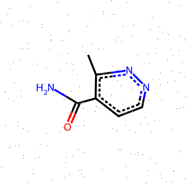 Cc1nnccc1C(N)=O